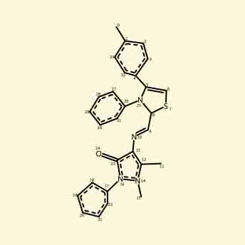 Cc1ccc(C2=CSC(C=Nc3c(C)n(C)n(-c4ccccc4)c3=O)N2c2ccccc2)cc1